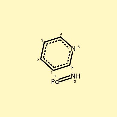 [NH]=[Pd].c1ccncc1